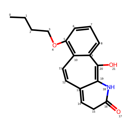 CCCCOc1cccc2c1C=CC1=CCC(=O)NC1=C2O